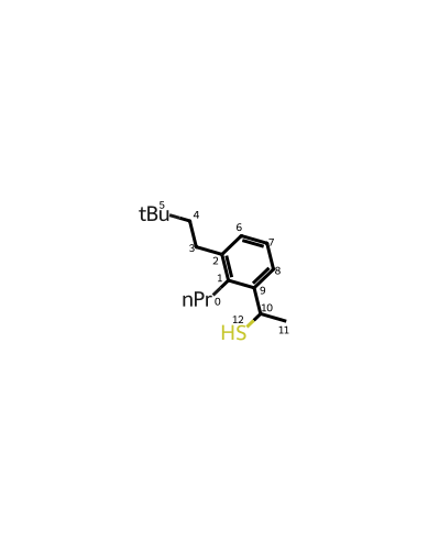 CCCc1c(CCC(C)(C)C)cccc1C(C)S